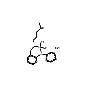 CNCCC[C@H]1Oc2ccccc2N(c2ccccc2)S1(O)O.Cl